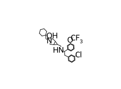 OC1(CN2CC3C(CNC(Cc4cccc(Cl)c4)c4cccc(OC(F)(F)F)c4)C3C2)CCCCC1